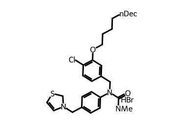 Br.CCCCCCCCCCCCCCOc1cc(CN(C(=O)NC)c2ccc(CN3C=CSC3)cc2)ccc1Cl